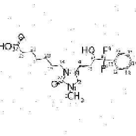 CN1C[C@H](C=CC(O)C(F)(F)c2ccccc2)N(CCCCCCC(=O)O)C1=O